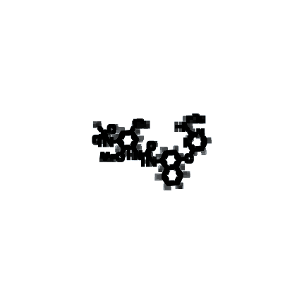 CCCCNc1nccc(Oc2ccc(NC(=O)Nc3cc(C(C)(C)C)cc(NS(C)(=O)=O)c3OC)c3ccccc23)n1